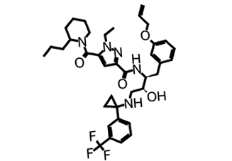 C=CCOc1cccc(C[C@H](NC(=O)c2cc(C(=O)N3CCCCC3CCC)n(CC)n2)[C@H](O)CNC2(c3cccc(C(F)(F)F)c3)CC2)c1